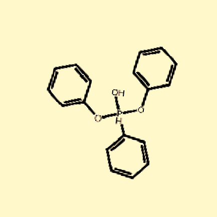 O[PH](Oc1ccccc1)(Oc1ccccc1)c1ccccc1